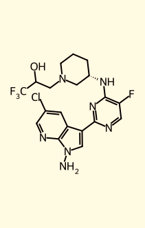 Nn1cc(-c2ncc(F)c(N[C@H]3CCCN(CC(O)C(F)(F)F)C3)n2)c2cc(Cl)cnc21